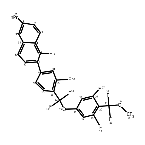 CCCc1ccc2c(F)c(-c3ccc(C(F)(F)Oc4cc(F)c(C(F)(F)OC(F)(F)F)c(F)c4)c(F)c3)ccc2c1